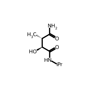 CC(C)NC(=O)[C@@H](O)[C@H](C)C(N)=O